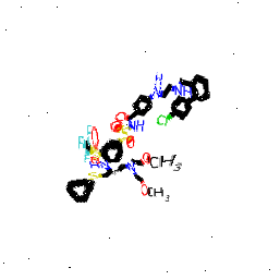 COCCN(CCOC)CC[C@H](CSc1ccccc1)Nc1ccc(S(=O)(=O)NC(=O)c2ccc(NCCNCC3=C(c4ccc(Cl)cc4)CCCC3)cc2)cc1S(=O)(=O)C(F)(F)F